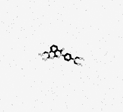 CCN(CC)c1ccc(OC(=O)c2cccc(N(CC)CC)c2C(=O)O)cc1